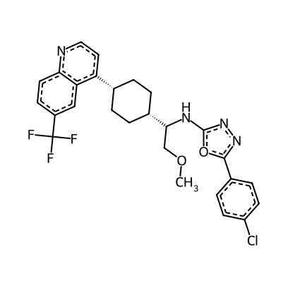 COCC(Nc1nnc(-c2ccc(Cl)cc2)o1)[C@H]1CC[C@@H](c2ccnc3ccc(C(F)(F)F)cc32)CC1